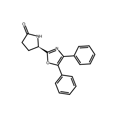 O=C1CC[C@H](c2nc(-c3ccccc3)c(-c3ccccc3)o2)N1